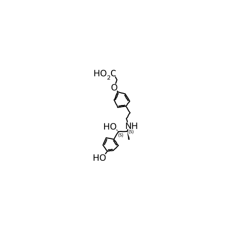 C[C@H](NCCc1ccc(OCC(=O)O)cc1)[C@@H](O)c1ccc(O)cc1